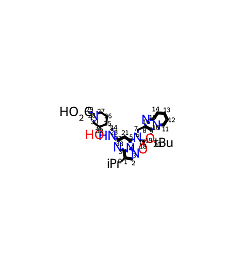 CC(C)c1cnn2c(N(Cc3cn4ccccc4n3)C(=O)OC(C)(C)C)cc(NC[C@H]3CCN(C(=O)O)C[C@@H]3O)nc12